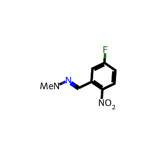 CN/N=C/c1cc(F)ccc1[N+](=O)[O-]